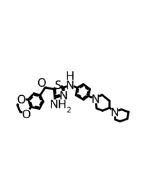 Nc1nc(Nc2ccc(N3CCC(N4CCCCC4)CC3)cc2)sc1C(=O)c1ccc2c(c1)OCCO2